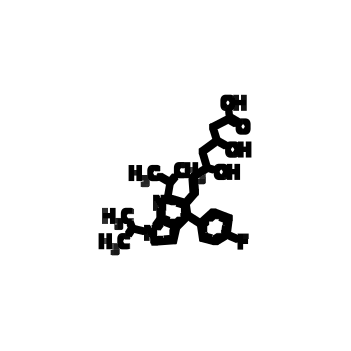 CC(C)c1nc2c(ccn2C(C)C)c(-c2ccc(F)cc2)c1C=CC(O)CC(O)CC(=O)O